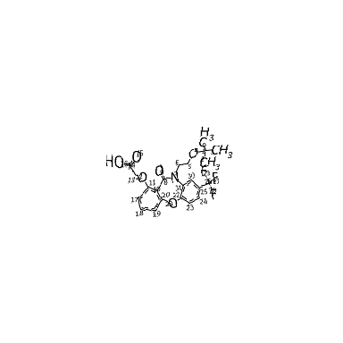 CC(C)(C)OCCN1C(=O)c2c(OCC(=O)O)cccc2Oc2ccc(C(F)(F)F)cc21